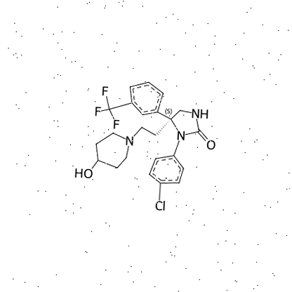 O=C1NC[C@](CCN2CCC(O)CC2)(c2cccc(C(F)(F)F)c2)N1c1ccc(Cl)cc1